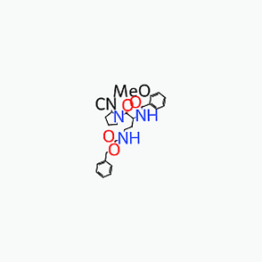 COc1ccccc1C(=O)N[C@@H](CCNC(=O)OCc1ccccc1)C(=O)N1CCCC1C#N